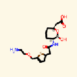 NCCOCC1=CCC(CC(=O)N[C@H]2CCC[C@@H](CC(=O)O)OB2O)S1